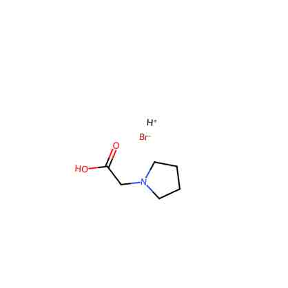 O=C(O)CN1CCCC1.[Br-].[H+]